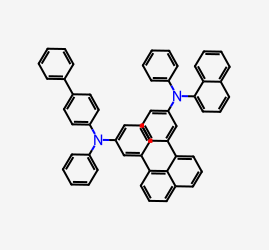 c1ccc(-c2ccc(N(c3ccccc3)c3cccc(-c4cccc5cccc(-c6cccc(N(c7ccccc7)c7cccc8ccccc78)c6)c45)c3)cc2)cc1